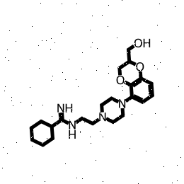 N=C(NCCN1CCN(c2cccc3c2OCC(CO)O3)CC1)C1CCCCC1